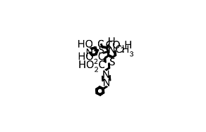 CC1=CC(SCCCN2CCN(Cc3ccccc3)CC2)=C(C(=CC(=O)O)C(=O)O)C(CSc2ccncc2)(C(=CC(=O)O)C(=O)O)N1